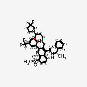 C[C@H](NC(=O)c1c(CN2CCC(N3CCC(F)(F)C3)CC2)c(-c2cccc(C(F)(F)F)c2)nc2c(S(C)(=O)=O)cccc12)c1ccccc1